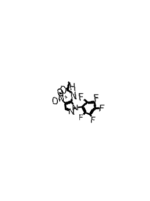 CC(=O)Nc1c([N+](=O)[O-])cnn1-c1c(F)c(F)c(F)c(F)c1F